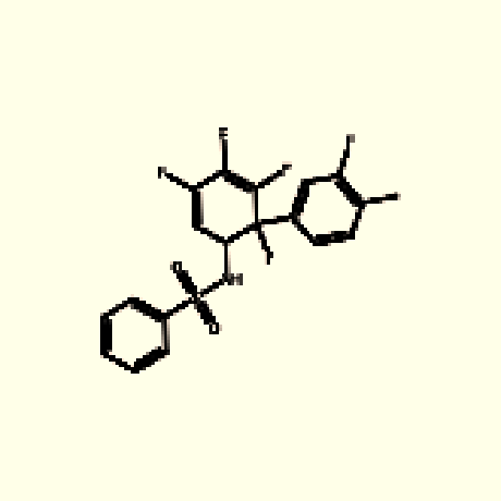 Cc1ccc(C2(F)C(F)=C(F)C(F)=CC2NS(=O)(=O)c2ccccc2)cc1F